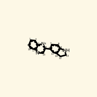 c1ccc2nc(-c3ccc4c(c3)CCN4)cnc2c1